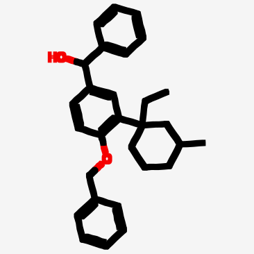 CCC1(c2cc(C(O)c3ccccc3)ccc2OCc2ccccc2)CCCC(C)C1